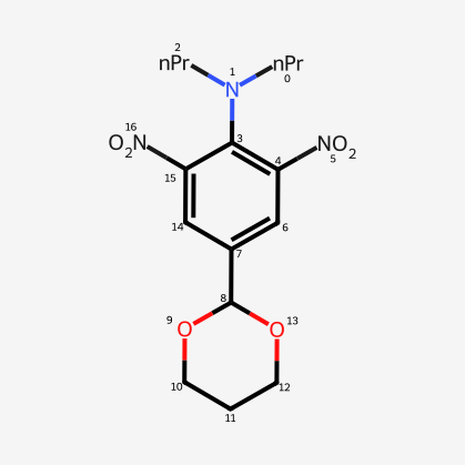 CCCN(CCC)c1c([N+](=O)[O-])cc(C2OCCCO2)cc1[N+](=O)[O-]